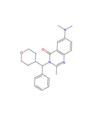 Cc1nc2ccc(N(C)C)cc2c(=O)n1C(c1ccccc1)C1CCOCC1